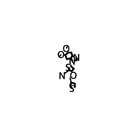 COc1cc2ncn(-c3cc(OCc4ccsc4)c(C#N)s3)c2cc1OC